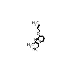 CC=CCOc1cccn2c(CC#N)c(C)nc12